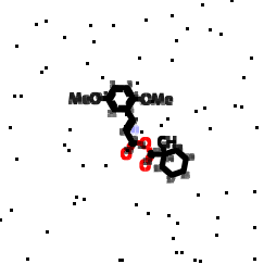 COc1ccc(OC)c(/C=C/C(=O)OC(=O)C2(C)CCCCC2)c1